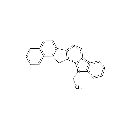 CCn1c2ccccc2c2ccc3c(c21)Cc1c-3ccc2ccccc12